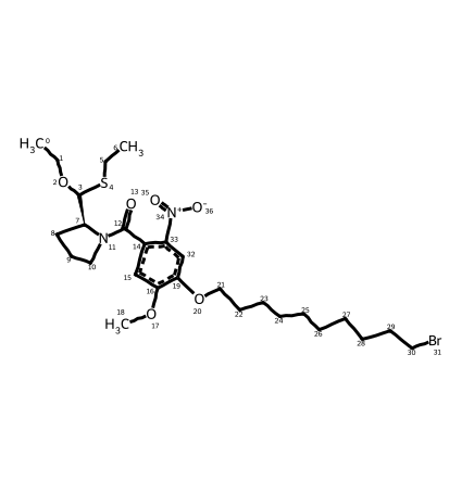 CCOC(SCC)[C@@H]1CCCN1C(=O)c1cc(OC)c(OCCCCCCCCCCBr)cc1[N+](=O)[O-]